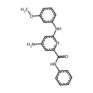 COc1cccc(Nc2cc(N)cc(C(=O)Nc3ccccc3)n2)c1